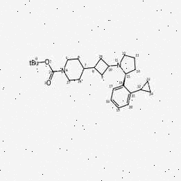 CC(C)(C)OC(=O)N1CCC(C2CC(N3CCC[C@H]3c3ccccc3C3CC3)C2)CC1